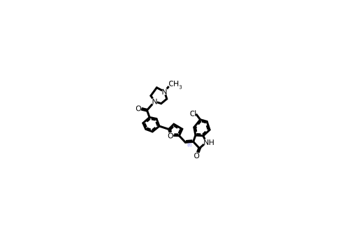 CN1CCN(C(=O)c2cccc(-c3ccc(/C=C4/C(=O)Nc5ccc(Cl)cc54)o3)c2)CC1